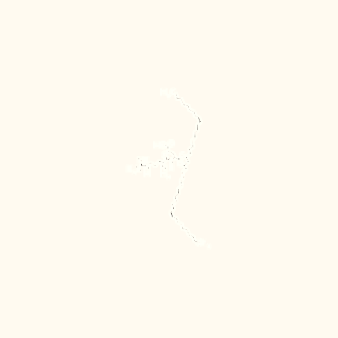 CCCCCCCCC/C=C\CCCCCCCCCCCC(CCCCCCCCCC/C=C\CCCCCCCCC)OC(=O)C(CCC(=O)O)NC(=O)C(N)CCCNC(=N)N